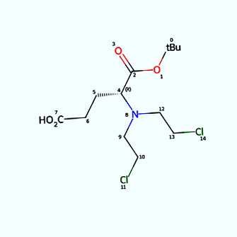 CC(C)(C)OC(=O)[C@@H](CCC(=O)O)N(CCCl)CCCl